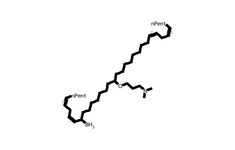 BC(/C=C\C/C=C\CCCCC)CCCCCCCC(CCCCCCCC/C=C\C/C=C\CCCCC)OCCCN(C)C